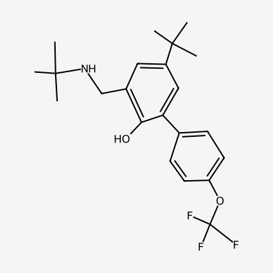 CC(C)(C)NCc1cc(C(C)(C)C)cc(-c2ccc(OC(F)(F)F)cc2)c1O